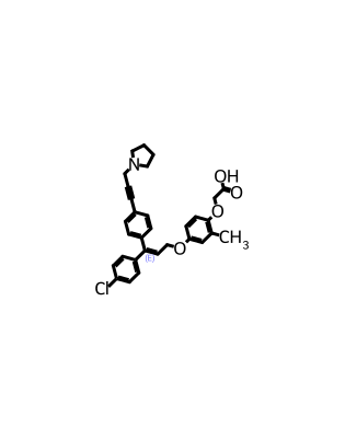 Cc1cc(OC/C=C(/c2ccc(Cl)cc2)c2ccc(C#CCN3CCCC3)cc2)ccc1OCC(=O)O